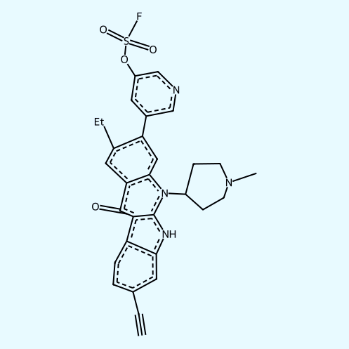 C#Cc1ccc2c(c1)[nH]c1c2c(=O)c2cc(CC)c(-c3cncc(OS(=O)(=O)F)c3)cc2n1C1CCN(C)CC1